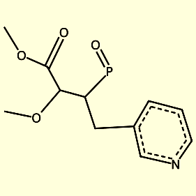 COC(=O)C(OC)C(Cc1cccnc1)P=O